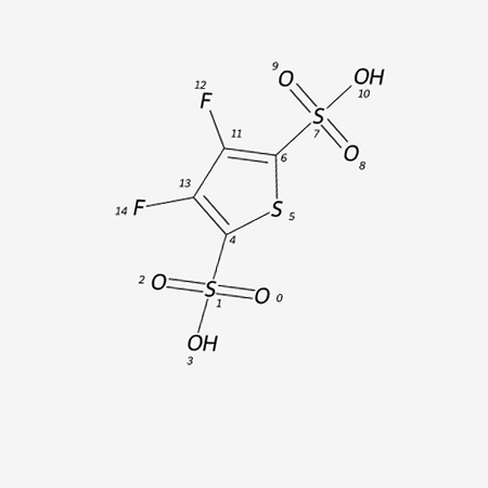 O=S(=O)(O)c1sc(S(=O)(=O)O)c(F)c1F